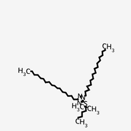 CCCCCCCCCCCCCCCCCCn1nc(CCCCCCCCCCCCCCCCC)nc1SC(C)(C)CCCCC